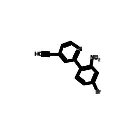 C#Cc1ccnc(-c2ccc(Br)cc2[N+](=O)[O-])c1